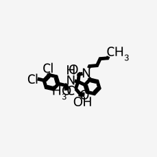 CCCCCN1C(=O)C(NC(=O)c2ccc(Cl)c(Cl)c2)(C(C)C(=O)O)c2ccccc21